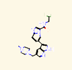 CN1CCN(Cc2cnc3[nH]cc(-c4ccc5ncc(C(=O)NCC(F)F)n5c4)c3c2)CC1